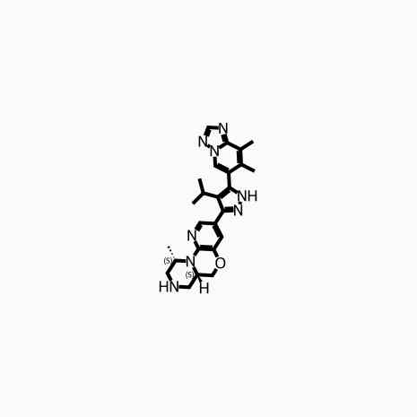 Cc1c(-c2[nH]nc(-c3cnc4c(c3)OC[C@@H]3CNC[C@H](C)N43)c2C(C)C)cn2ncnc2c1C